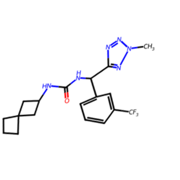 Cn1nnc(C(NC(=O)NC2CC3(CCC3)C2)c2cccc(C(F)(F)F)c2)n1